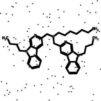 CCCCn1c2ccccc2c2cc(CN(CCCCCCN)Cc3cc4c5ccccc5n(CCCC)c4cn3)ncc21